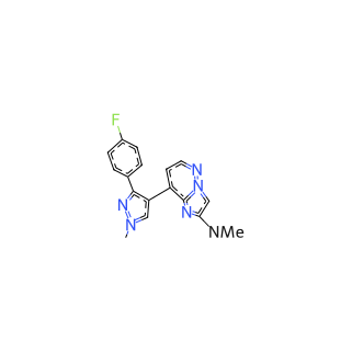 CNc1cn2nccc(-c3cn(C)nc3-c3ccc(F)cc3)c2n1